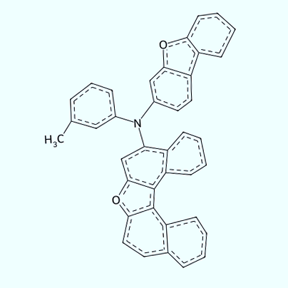 Cc1cccc(N(c2ccc3c(c2)oc2ccccc23)c2cc3oc4ccc5ccccc5c4c3c3ccccc23)c1